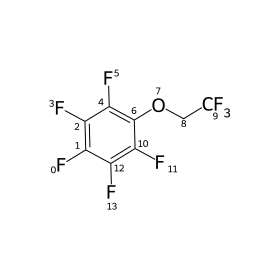 Fc1c(F)c(F)c(OCC(F)(F)F)c(F)c1F